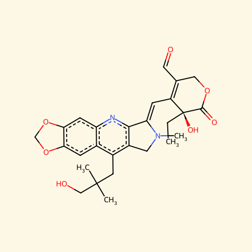 CC[C@@]1(O)C(=O)OCC(C=O)=C1/C=C1/c2nc3cc4c(cc3c(CC(C)(C)CO)c2CN1C)OCO4